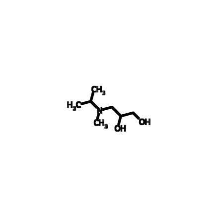 CC(C)N(C)CC(O)CO